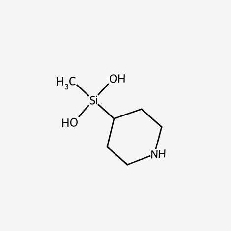 C[Si](O)(O)C1CCNCC1